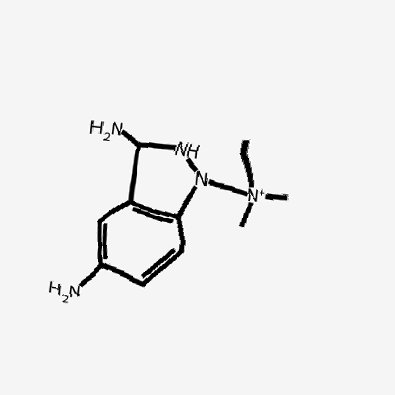 C[N+](C)(C)N1NC(N)c2cc(N)ccc21